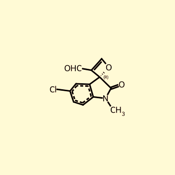 CN1C(=O)[C@@]2(OC=C2C=O)c2cc(Cl)ccc21